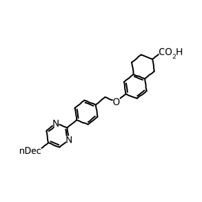 CCCCCCCCCCc1cnc(-c2ccc(COc3ccc4c(c3)CCC(C(=O)O)C4)cc2)nc1